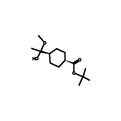 COC(C)(O)[C@H]1CC[C@H](C(=O)OC(C)(C)C)CC1